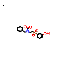 O=C(O)N(CCS(=O)(=O)c1cccc(O)c1)Cc1ccccc1